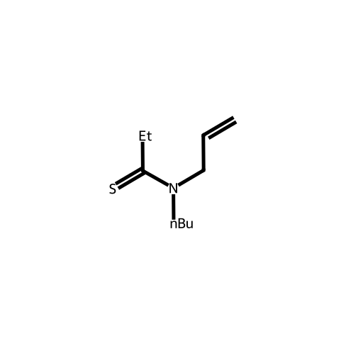 C=CCN(CCCC)C(=S)CC